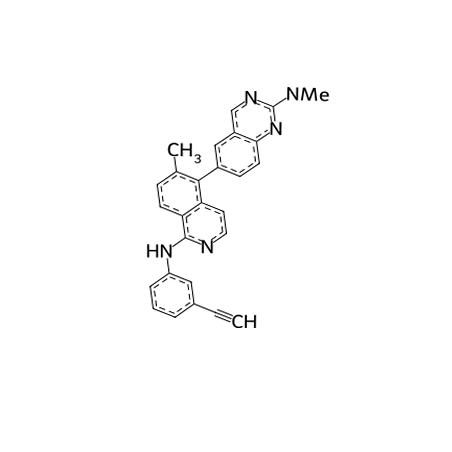 C#Cc1cccc(Nc2nccc3c(-c4ccc5nc(NC)ncc5c4)c(C)ccc23)c1